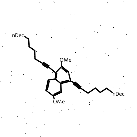 CCCCCCCCCCCCCCC#Cc1cc(OC)c(C#CCCCCCCCCCCCCCC)c2ccc(OC)cc12